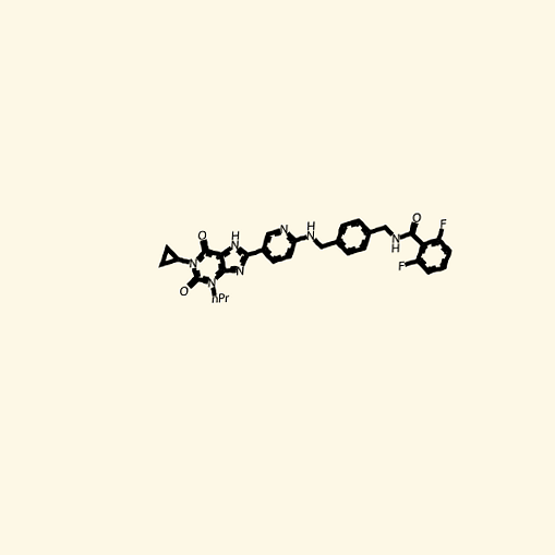 CCCn1c(=O)n(C2CC2)c(=O)c2[nH]c(-c3ccc(NCc4ccc(CNC(=O)c5c(F)cccc5F)cc4)nc3)nc21